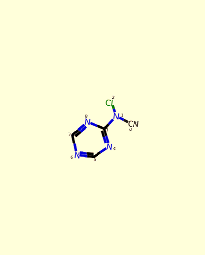 N#CN(Cl)c1ncncn1